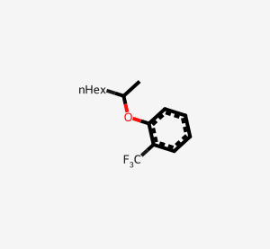 CCCCCCC(C)Oc1ccccc1C(F)(F)F